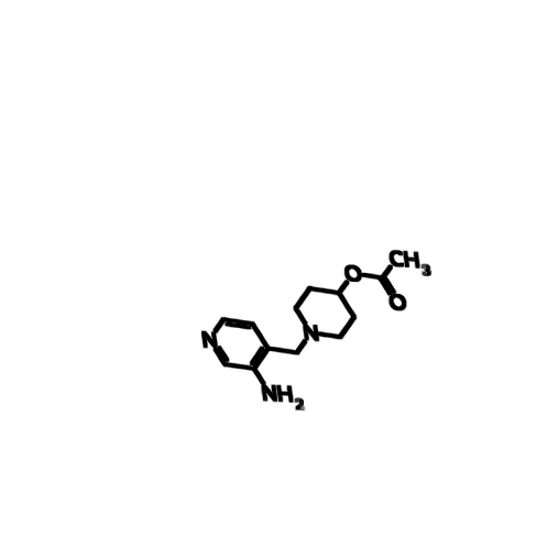 CC(=O)OC1CCN(Cc2ccncc2N)CC1